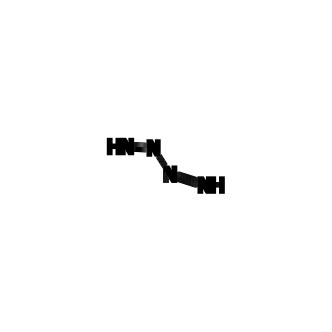 N=NN=N